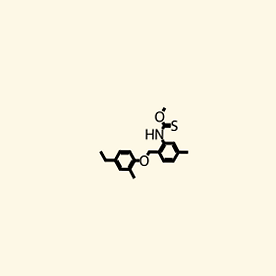 CCc1ccc(OCc2ccc(C)cc2NC(=S)OC)c(C)c1